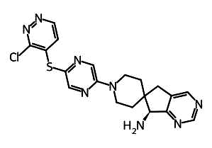 N[C@@H]1c2ncncc2CC12CCN(c1cnc(Sc3ccnnc3Cl)cn1)CC2